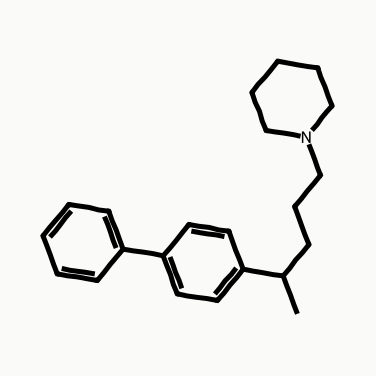 CC(CCCN1CCCCC1)c1ccc(-c2ccccc2)cc1